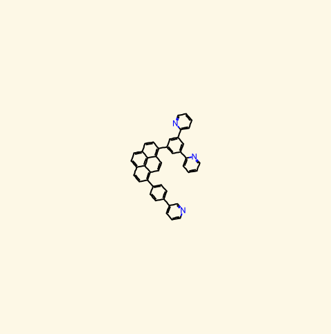 c1ccc(-c2cc(-c3ccccn3)cc(-c3ccc4ccc5ccc(-c6ccc(-c7cccnc7)cc6)c6ccc3c4c56)c2)nc1